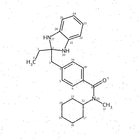 CCC1(Cc2ccc(C(=O)N(C)C3CCCCC3)cc2)Nc2ccccc2N1